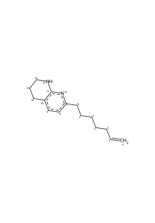 C=CCCCCCc1ccc2c(n1)NCCC2